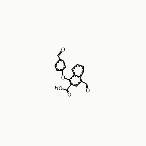 O=Cc1ccc(Oc2c(C(=O)O)cc(C=O)c3ccccc23)cc1